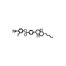 CCCCC[C@H]1CC[C@@H]2CC(c3ccc(C(=O)Oc4ccc(C#N)c(F)c4)cc3)CC[C@H]2C1